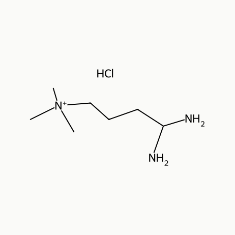 C[N+](C)(C)CCCC(N)N.Cl